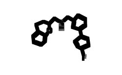 Fc1ccc(-c2cccc(CNCC3CCc4ccccc4O3)c2)cc1